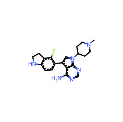 CN1CCC(n2cc(-c3ccc4c(c3F)CCN4)c3c(N)ncnc32)CC1